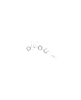 CCC1CN(C(=O)Nc2ccc(F)c(Cl)c2)c2ccc(-c3ccc(OCC(C)(C)C(C)=O)nc3)cc2O1